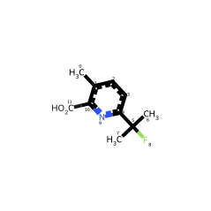 Cc1ccc(C(C)(C)F)nc1C(=O)O